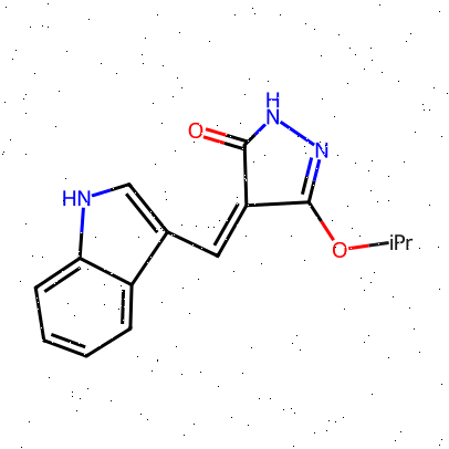 CC(C)OC1=NNC(=O)C1=Cc1c[nH]c2ccccc12